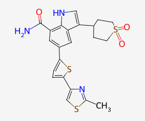 Cc1nc(-c2ccc(-c3cc(C(N)=O)c4[nH]cc(C5CCS(=O)(=O)CC5)c4c3)s2)cs1